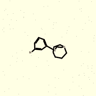 Brc1cccc(N2CCN3CCCC2CC3)c1